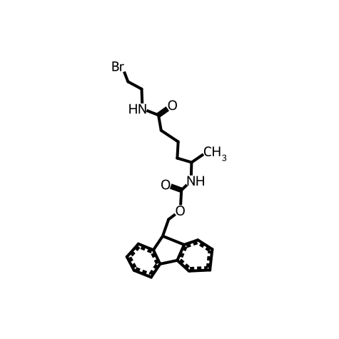 CC(CCCC(=O)NCCBr)NC(=O)OCC1c2ccccc2-c2ccccc21